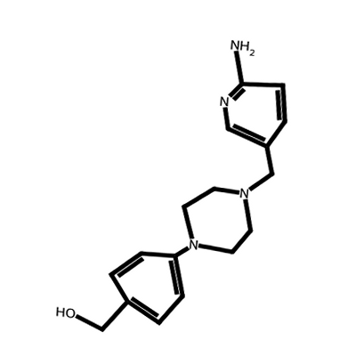 Nc1ccc(CN2CCN(c3ccc(CO)cc3)CC2)cn1